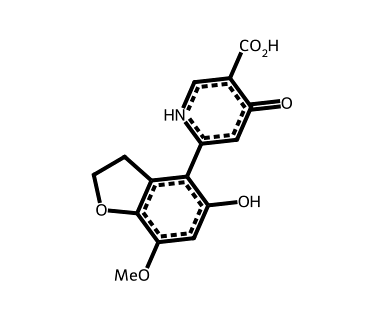 COc1cc(O)c(-c2cc(=O)c(C(=O)O)c[nH]2)c2c1OCC2